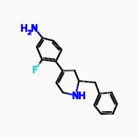 Nc1ccc(C2=CCNC(Cc3ccccc3)C2)c(F)c1